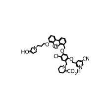 N#Cc1cncc(COc2cc(OCc3cccc(-c4cccc(OCCCN5CC[C@@H](O)C5)c4Cl)c3Cl)c(Cl)cc2CN2CCCC[C@H]2C(=O)O)c1